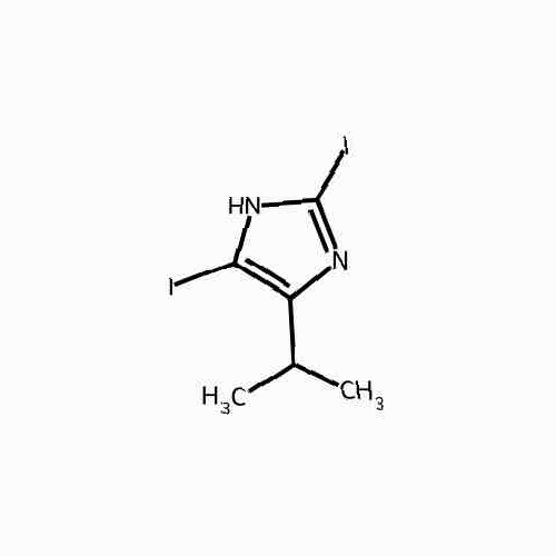 CC(C)c1nc(I)[nH]c1I